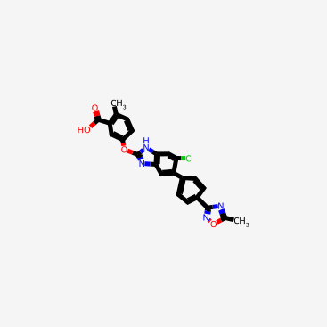 Cc1nc(-c2ccc(-c3cc4nc(Oc5ccc(C)c(C(=O)O)c5)[nH]c4cc3Cl)cc2)no1